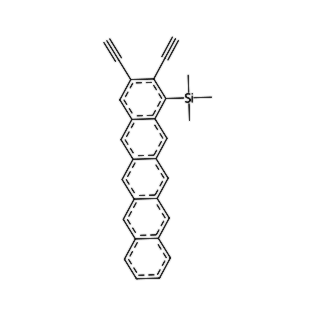 C#Cc1cc2cc3cc4cc5ccccc5cc4cc3cc2c([Si](C)(C)C)c1C#C